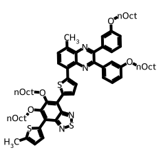 CCCCCCCCOc1cccc(-c2nc3c(C)ccc(-c4ccc(-c5c(OCCCCCCCC)c(OCCCCCCCC)c(-c6ccc(C)s6)c6nsnc56)s4)c3nc2-c2cccc(OCCCCCCCC)c2)c1